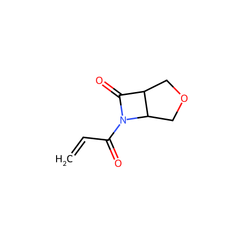 C=CC(=O)N1C(=O)C2COCC21